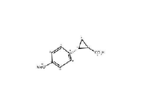 COc1ccc([C@@H]2CC2C(=O)O)cc1